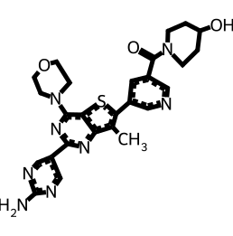 Cc1c(-c2cncc(C(=O)N3CCC(O)CC3)c2)sc2c(N3CCOCC3)nc(-c3cnc(N)nc3)nc12